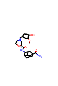 COc1cc(CN2CCO[C@@H](C(=O)NC3C4CC5CC3CC(C(N)=O)(C5)C4)C2)ccc1O